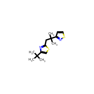 CC(C)(C)c1csc(CC(C)(C)c2ccsn2)n1